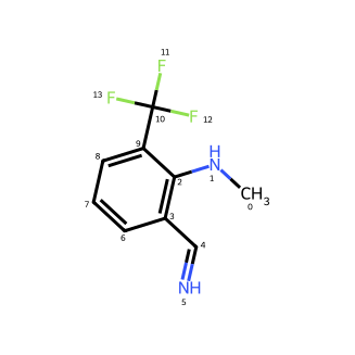 CNc1c(C=N)cccc1C(F)(F)F